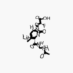 CC(=O)NCNC(=O)[C@@H]1C(C)=C[C@@H]2CN1C(=O)N2O[C@@H](F)C(=O)O.[LiH]